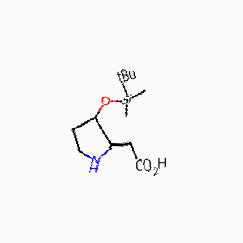 CC(C)(C)[Si](C)(C)OC1CCNC1CC(=O)O